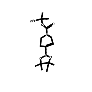 CCCC(C)(C)OC(=O)N1CC=C(B2OC(C)(C)C(C)(C)O2)CC1